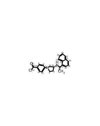 C[C@@H](N[C@H]1CCN(c2ccc(C(=O)Cl)cc2)C1)c1cccc2ccccc12